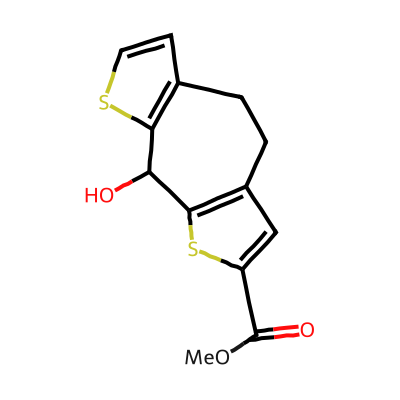 COC(=O)c1cc2c(s1)C(O)c1sccc1CC2